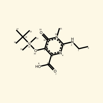 CCNc1nc(C(=O)O)c(O[Si](C)(C)C(C)(C)C)c(=O)n1C